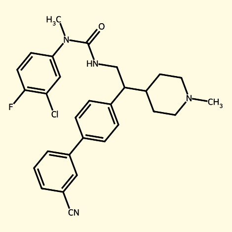 CN1CCC(C(CNC(=O)N(C)c2ccc(F)c(Cl)c2)c2ccc(-c3cccc(C#N)c3)cc2)CC1